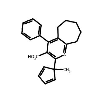 CC1(c2nc3c(c(-c4ccccc4)c2C(=O)O)CCCCC3)C=CC=C1